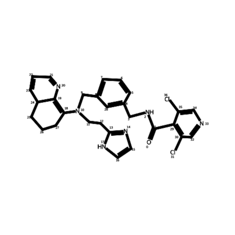 O=C(NCc1cccc(CN(CCc2ncc[nH]2)C2=C3N=CC=CC3CCC2)c1)c1c(Cl)cncc1Cl